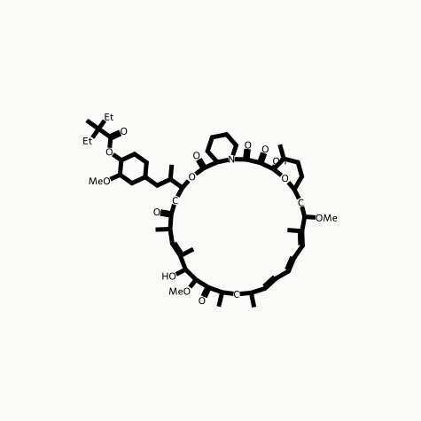 CCC(C)(CC)C(=O)OC1CCC(CC(C)C2CC(=O)C(C)/C=C(\C)C(O)C(OC)C(=O)C(C)CC(C)/C=C/C=C/C=C(\C)C(OC)CC3CCC(C)C(O)(O3)C(=O)C(=O)N3CCCCC3C(=O)O2)CC1OC